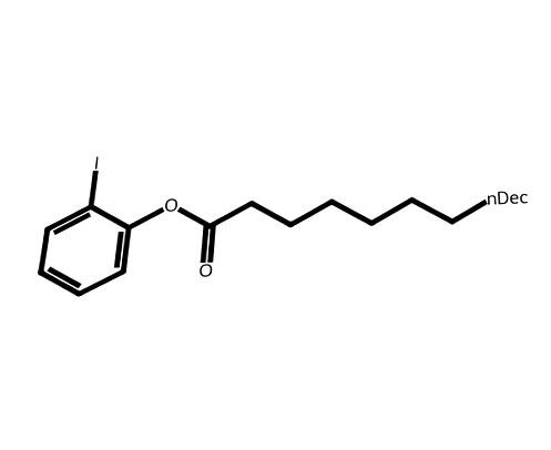 CCCCCCCCCCCCCCCCC(=O)Oc1ccccc1I